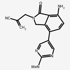 C=C(C#N)CN1Cc2c(-c3cnc(NC)nc3)ccc(N)c2C1=O